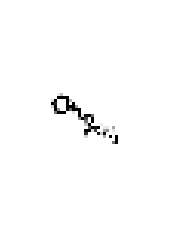 CC(I)OCCN1CCCCC1